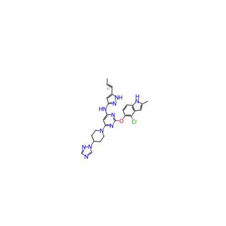 C/C=C/c1cc(Nc2cc(N3CCC(n4cncn4)CC3)nc(Oc3ccc4[nH]c(C)cc4c3Cl)n2)n[nH]1